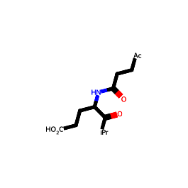 CC(=O)CCC(=O)NC(CCC(=O)O)C(=O)C(C)C